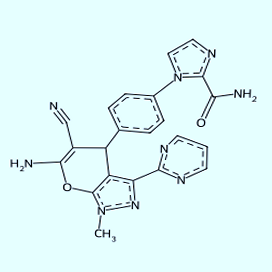 Cn1nc(-c2ncccn2)c2c1OC(N)=C(C#N)C2c1ccc(-n2ccnc2C(N)=O)cc1